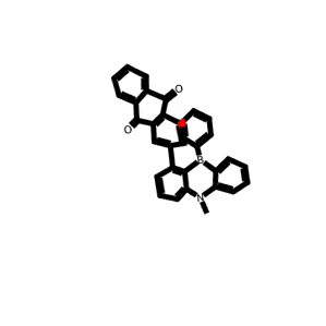 CN1c2ccccc2B(c2ccccc2)c2c(-c3ccc4c(c3)C(=O)c3ccccc3C4=O)cccc21